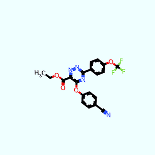 CCOC(=O)c1nnc(-c2ccc(OC(F)(F)F)cc2)nc1Oc1ccc(C#N)cc1